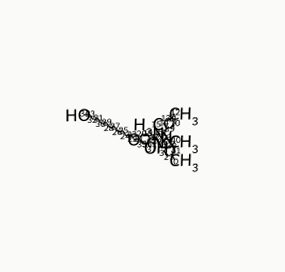 Cc1ccc(-c2nc(-c3ccc(C)cc3C)nc(-c3ccc(OCCCCCCCCCCCO)cc3O)n2)c(C)c1